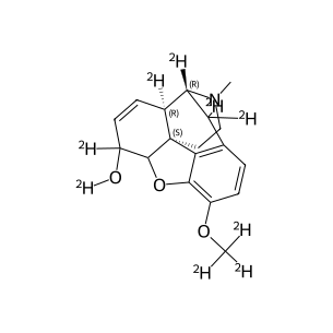 [2H]OC1([2H])C=C[C@]2([2H])[C@@]34CCN(C)[C@]2([2H])C([2H])([2H])c2ccc(OC([2H])([2H])[2H])c(c23)OC14